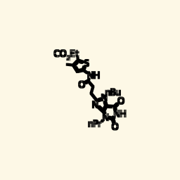 CCCCn1c(CCC(=O)Nc2cc(C)c(C(=O)OCC)s2)nc2c1c(=O)[nH]c(=O)n2CCC